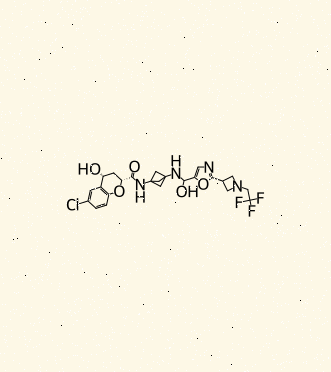 O=C(NC12CC(NC(O)c3cnc(C4CN(CC(F)(F)F)C4)o3)(C1)C2)[C@H]1C[C@@H](O)c2cc(Cl)ccc2O1